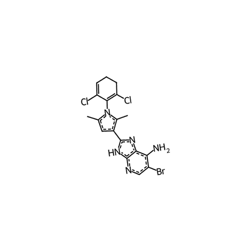 Cc1cc(-c2nc3c(N)c(Br)cnc3[nH]2)c(C)n1C1=C(Cl)CCC=C1Cl